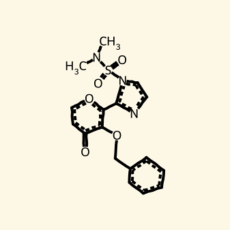 CN(C)S(=O)(=O)n1ccnc1-c1occc(=O)c1OCc1ccccc1